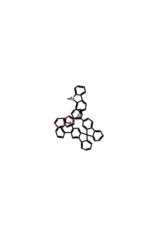 Cn1c2ccccc2c2ccc(N(c3ccccc3)c3ccc4c(c3)C3(c5ccccc5-4)c4ccccc4-c4cc(-c5ccccc5)c(N(c5ccccc5)c5ccccc5)cc43)cc21